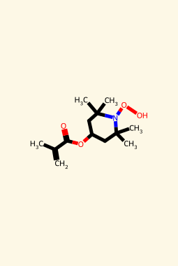 C=C(C)C(=O)OC1CC(C)(C)N(OO)C(C)(C)C1